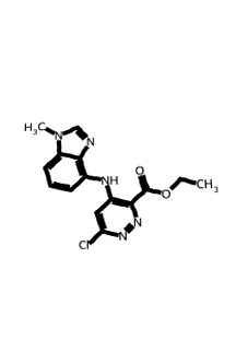 CCOC(=O)c1nnc(Cl)cc1Nc1cccc2c1ncn2C